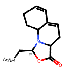 CC(=O)NC[C@@H]1OC(=O)C2CC=C3C=CCCC3N21